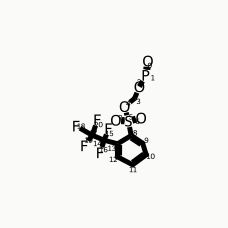 O=POCOS(=O)(=O)c1ccccc1C(F)(F)C(F)(F)F